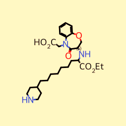 CCOC(=O)C(CCCCCCCC1CCNCC1)N[C@H]1COc2ccccc2N(CC(=O)O)C1=O